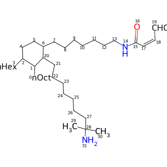 CCCCCCCCC1C(CCCCCC)CCC(CCCCCCCNC(=O)/C=C\C=O)C1CCCCCCCC(C)(C)N